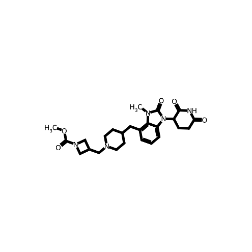 COC(=O)N1CC(CN2CCC(Cc3cccc4c3n(C)c(=O)n4C3CCC(=O)NC3=O)CC2)C1